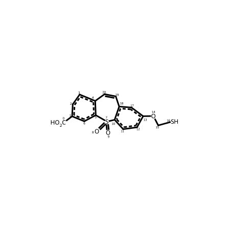 O=C(O)c1ccc2c(c1)S(=O)(=O)c1ccc(OCS)cc1C=C2